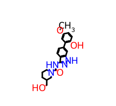 COc1ccc(O)c(-c2ccc3c(NC(=O)N4CCCC(CO)C4)n[nH]c3c2)c1